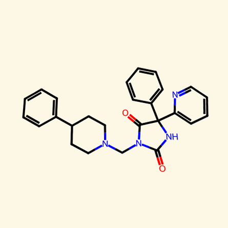 O=C1NC(c2ccccc2)(c2ccccn2)C(=O)N1CN1CCC(c2ccccc2)CC1